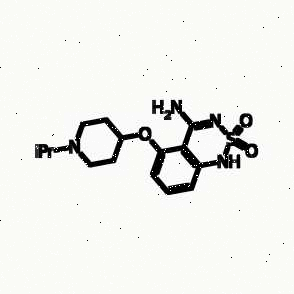 CC(C)N1CCC(Oc2cccc3c2C(N)=NS(=O)(=O)N3)CC1